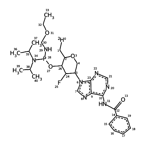 [2H]CC1OCC(n2cnc3c(NC(=O)c4ccccc4)ncnc32)C(F)C1OP(NCOCC)N(C(C)C)C(C)C